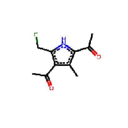 CC(=O)c1[nH]c(CCl)c(C(C)=O)c1C